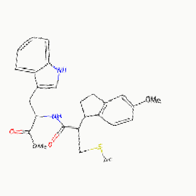 COC(=O)C(Cc1c[nH]c2ccccc12)NC(=O)C(CSC(C)=O)C1CCc2cc(OC)ccc21